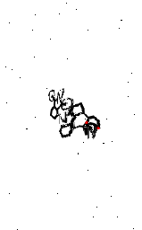 CN1C(=O)c2cccc(-n3c4cccc(-c5cccnc5)c4c4c(-c5cccnc5)cccc43)c2C1=O